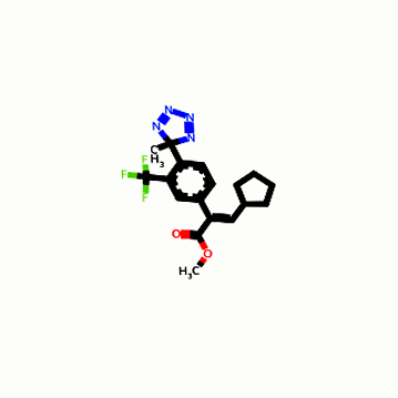 COC(=O)/C(=C/C1CCCC1)c1ccc(C2(C)N=NN=N2)c(C(F)(F)F)c1